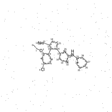 CCOc1cc(Cl)ccc1-c1c(C#N)csc1-c1ccnc(Nc2ccccc2)n1